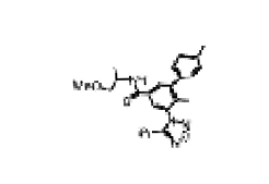 COCC(C)NC(=O)c1cc(-c2ccc(C)cc2)c(C)c(-n2nnnc2C(C)C)c1